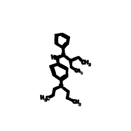 CCCN(CCC)c1ccc(NN(c2ccccc2)N(CC)CC)cc1